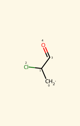 [CH2]C(Cl)C=O